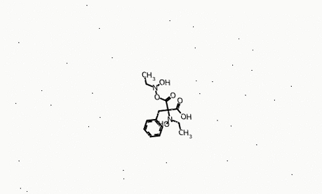 CCN(O)OC(=O)C(Cc1ccccc1)(C(=O)O)N(O)CC